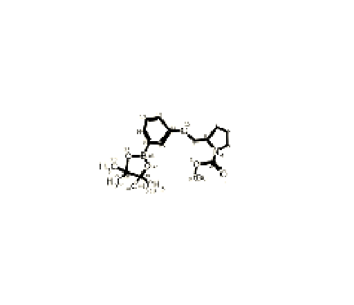 CC(C)(C)OC(=O)N1CCCC1COc1cccc(B2OC(C)(C)C(C)(C)O2)c1